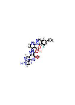 CC(C)(C)c1cc(F)c2c(=O)n(-c3nccc(-n4cc(C(N)=O)c(-c5cnc6[nH]ccc6c5)n4)c3CO)ncc2c1